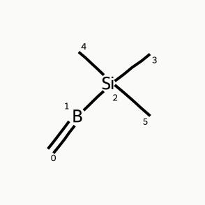 C=B[Si](C)(C)C